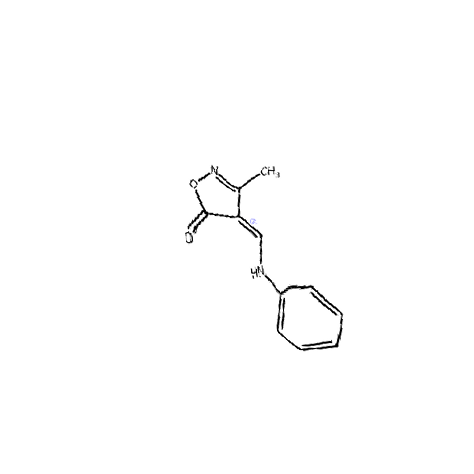 CC1=NOC(=O)/C1=C\Nc1ccccc1